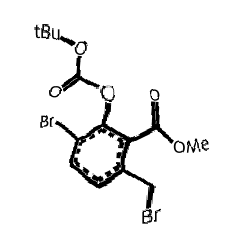 COC(=O)c1c(CBr)ccc(Br)c1OC(=O)OC(C)(C)C